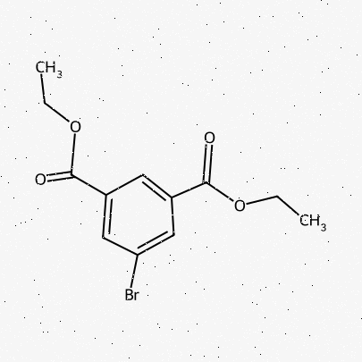 CCOC(=O)c1cc(Br)cc(C(=O)OCC)c1